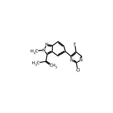 C=C(C)c1c2cc(-c3nc(Cl)ncc3F)ccc2nn1C